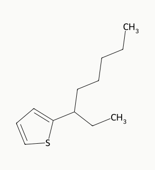 CCCCCC(CC)c1cccs1